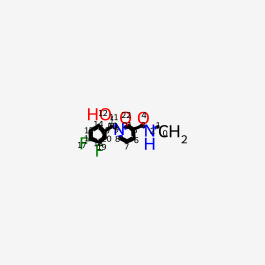 C=CNC(=O)c1cccn([C@@H](CO)c2ccc(F)c(F)c2)c1=O